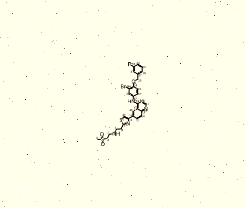 CS(=O)(=O)CCNCCc1nc(-c2ccc3ncnc(Nc4ccc(OCc5cccc(F)c5)c(Br)c4)c3c2)cs1